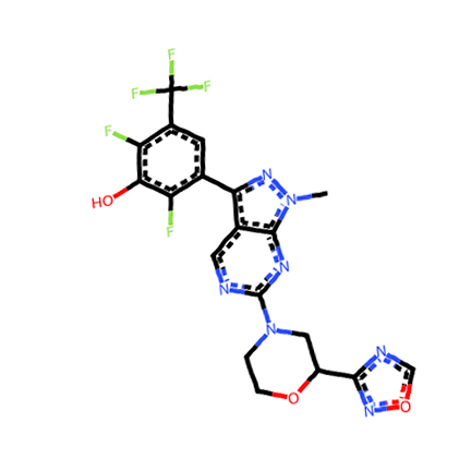 Cn1nc(-c2cc(C(F)(F)F)c(F)c(O)c2F)c2cnc(N3CCOC(c4ncon4)C3)nc21